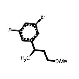 [CH2]C(CCOC)c1cc(F)cc(Br)c1